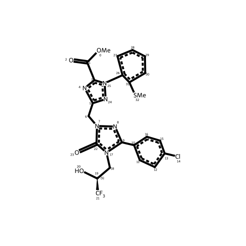 COC(=O)c1nc(Cn2nc(-c3ccc(Cl)cc3)n(C[C@H](O)C(F)(F)F)c2=O)nn1-c1ccccc1SC